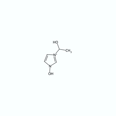 CC(O)[n+]1ccn(O)c1